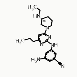 CCCc1cc(N2CCC[C@@H](NCC)C2)nc(Nc2cc(N)cc(C#N)c2)n1